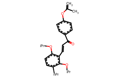 C=C(C)Oc1ccc(C(=O)C=Cc2c(OC(C)C)ccc(CCC)c2OC(C)C)cc1